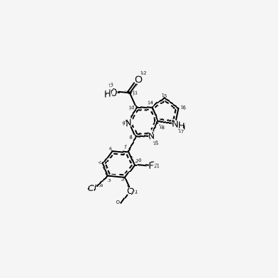 COc1c(Cl)ccc(-c2nc(C(=O)O)c3cc[nH]c3n2)c1F